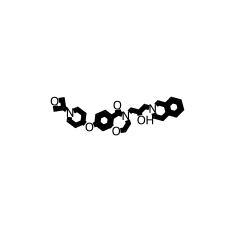 O=C1c2ccc(OC3CCN(C4COC4)CC3)cc2OCCN1CC(O)CN1CCc2ccccc2C1